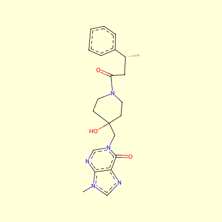 C[C@H](CC(=O)N1CCC(O)(Cn2cnc3c(ncn3C)c2=O)CC1)c1ccccc1